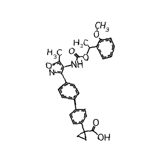 COc1ccccc1C(C)OC(=O)Nc1c(-c2ccc(-c3ccc(C4(C(=O)O)CC4)cc3)cc2)noc1C